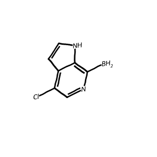 Bc1ncc(Cl)c2cc[nH]c12